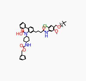 COc1cc(NC(=O)CCCc2ccc(-c3ccccc3)c(N(C(=O)O)C3CCC(NC(=O)OCc4ccccc4)CC3)c2)c(Cl)cc1CO[Si](C)(C)C(C)(C)C